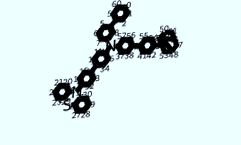 c1ccc(-c2cccc(N(c3ccc(-c4ccc(N5c6ccccc6Sc6ccccc65)cc4)cc3)c3ccc(-c4ccc(C56CC7CC(CC(C7)C5)C6)cc4)cc3)c2)cc1